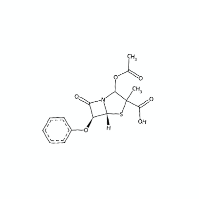 CC(=O)OC1N2C(=O)[C@H](Oc3ccccc3)[C@H]2SC1(C)C(=O)O